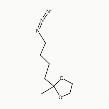 CC1(CCCCN=[N+]=[N-])OCCO1